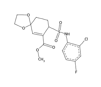 COC(=O)C1=CC2(CCC1S(=O)(=O)Nc1ccc(F)cc1Cl)OCCO2